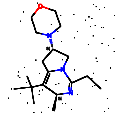 CCC1=N[C@@H](C)C(C(C)(C)C)=C2C[C@H](N3CCOCC3)CN12